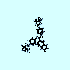 CC1(C)OB(c2ccc(OC(Oc3ccc(B4OC(C)(C)C(C)(C)O4)cc3)c3ccc4ccccc4c3)cc2)OC1(C)C